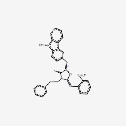 CCOC(=O)c1ccccc1/N=C1\O/C(=C/c2ccc3c(c2)c2ccccc2n3CC)C(=O)N1CCc1ccccc1